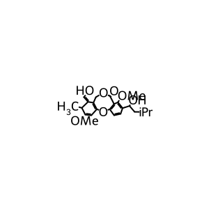 COC1=CC(C)C(=CO)C2=C1Oc1ccc(C(O)CC(C)C)c(OC)c1C(=O)OC2